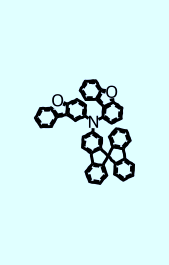 c1ccc2c(c1)-c1ccccc1C21c2ccccc2-c2ccc(N(c3ccc4oc5ccccc5c4c3)c3cccc4oc5ccccc5c34)cc21